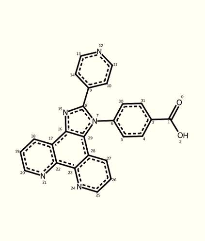 O=C(O)c1ccc(-n2c(-c3ccncc3)nc3c4cccnc4c4ncccc4c32)cc1